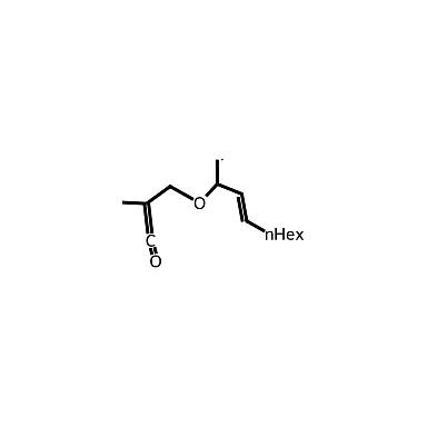 [CH2]C(C=CCCCCCC)OCC(C)=C=O